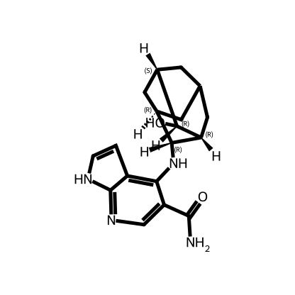 NC(=O)c1cnc2[nH]ccc2c1N[C@@H]1[C@@H]2CC3C[C@@H](C2)[C@@H](O)[C@@H]1C3